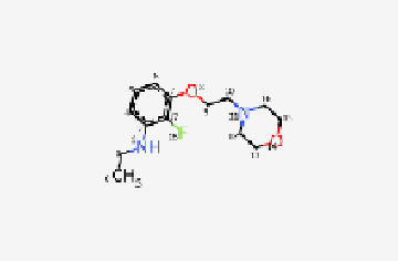 CCNc1cccc(OCCN2CCOCC2)c1F